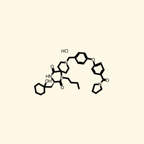 CCCCN1C(=O)[C@@H](CC2(O)CCCCC2)NC(=O)C12CCN(Cc1ccc(Oc3ccc(C(=O)N4CCCC4)cc3)cc1)CC2.Cl